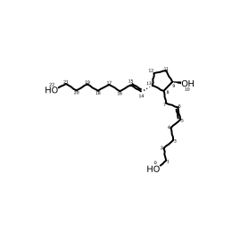 OCCCC/C=C\CC1[C@H](O)CC[C@H]1/C=C/CCCCCCO